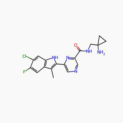 Cc1c(-c2cncc(C(=O)NCC3(N)CC3)n2)[nH]c2cc(Cl)c(F)cc12